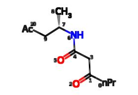 CCCC(=O)CC(=O)N[C@@H](C)CC(C)=O